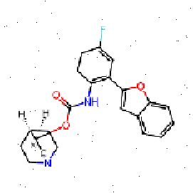 O=C(NC1=C(c2cc3ccccc3o2)C=C(F)CC1)O[C@H]1C[N@]2CC[C@H]1CC2